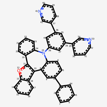 c1ccc(-c2ccc3c(c2)-c2c(oc4ccccc24)-c2ccccc2N3c2cc(-c3cccnc3)cc(-c3cccnc3)c2)cc1